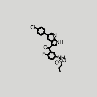 CCCS(=O)(=O)Nc1ccc(F)c(C(=O)c2c[nH]c3ncc(-c4ccc(Cl)cc4)cc23)c1